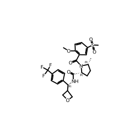 COc1ccc(S(C)(=O)=O)cc1C(=O)N1[C@H](C)CC[C@@H]1C(=O)N[C@@H](c1ccc(C(F)(F)F)cc1)C1COC1